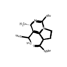 CNC(=O)C1CCN2C(C(C)(C)C)=N[C@@H](C)C(C(C)SC)=C12